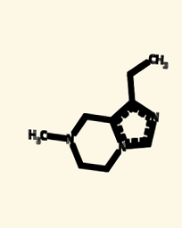 CCc1ncn2c1CN(C)CC2